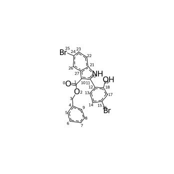 O=C(OCc1ccccc1)c1c(-c2ccc(Br)cc2O)[nH]c2ccc(Br)cc12